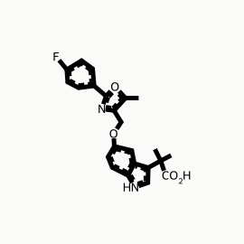 Cc1oc(-c2ccc(F)cc2)nc1COc1ccc2[nH]cc(C(C)(C)C(=O)O)c2c1